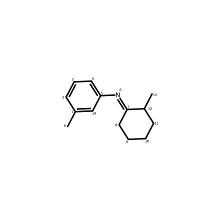 Cc1cccc(N=C2CCCCC2C)c1